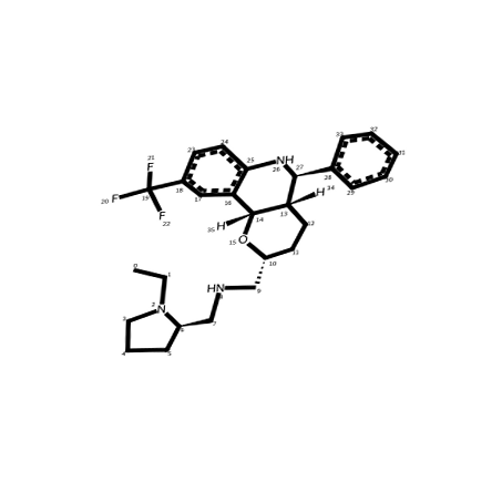 CCN1CCC[C@@H]1CNC[C@H]1CC[C@@H]2[C@H](O1)c1cc(C(F)(F)F)ccc1N[C@H]2c1ccccc1